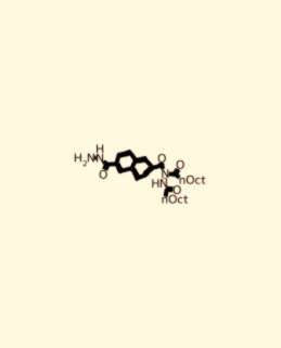 CCCCCCCCC(=O)NN(C(=O)CCCCCCCC)C(=O)c1ccc2cc(C(=O)NN)ccc2c1